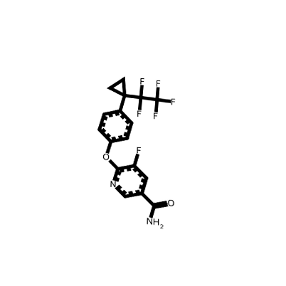 NC(=O)c1cnc(Oc2ccc(C3(C(F)(F)C(F)(F)F)CC3)cc2)c(F)c1